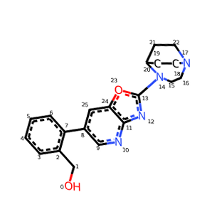 OCc1ccccc1-c1cnc2nc(N3CCN4CCC3CC4)oc2c1